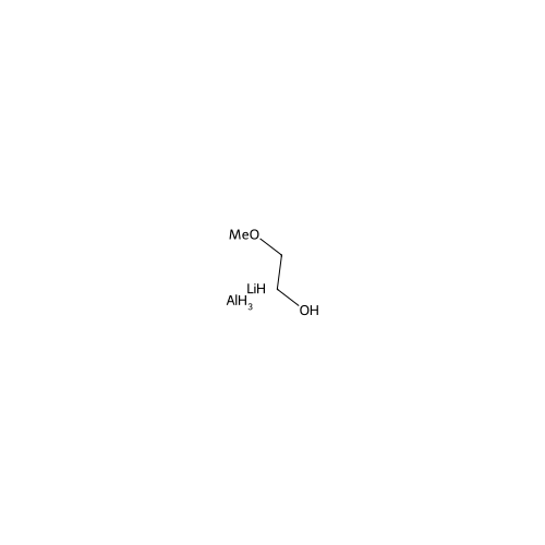 COCCO.[AlH3].[LiH]